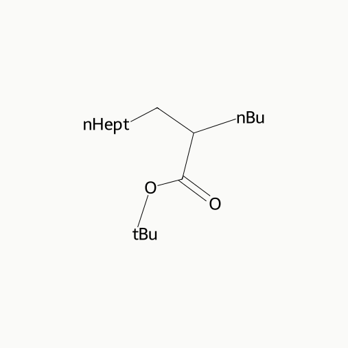 CCCCCCCCC(CCCC)C(=O)OC(C)(C)C